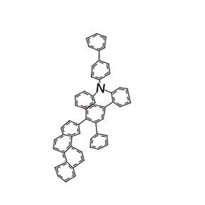 c1ccc(-c2ccc(N(c3ccccc3)c3ccccc3-c3ccc(-c4ccc5ccc6c7ccccc7ccc6c5c4)c(-c4ccccc4)c3)cc2)cc1